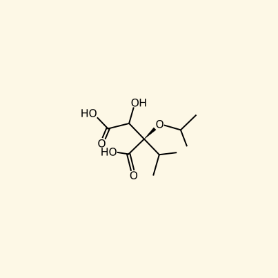 CC(C)O[C@](C(=O)O)(C(C)C)C(O)C(=O)O